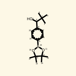 CC(C)(C)C(O)c1ccc(B2OC(C)(C)C(C)(C)O2)cc1